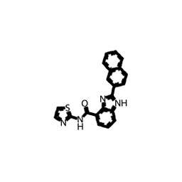 O=C(Nc1nccs1)c1cccc2[nH]c(-c3ccc4ccccc4c3)nc12